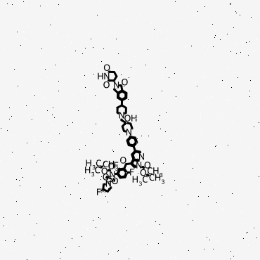 CC(C)(C)OC(=O)N(c1ccc(F)c(C(=O)c2cn(C(=O)OC(C)(C)C)c3ncc(-c4ccc(N5CCC(O)(CN6CCC(c7ccc8c(c7)CN(C7CCC(=O)NC7=O)C8=O)CC6)CC5)cc4)cc23)c1F)S(=O)(=O)N1CC[C@@H](F)C1